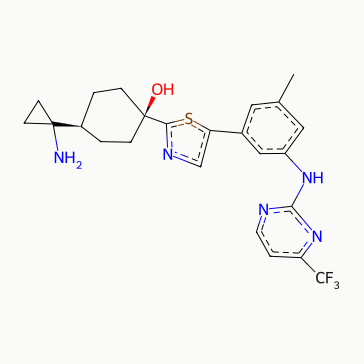 Cc1cc(Nc2nccc(C(F)(F)F)n2)cc(-c2cnc([C@]3(O)CC[C@@H](C4(N)CC4)CC3)s2)c1